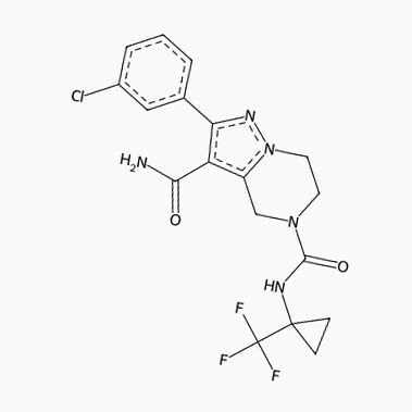 NC(=O)c1c(-c2cccc(Cl)c2)nn2c1CN(C(=O)NC1(C(F)(F)F)CC1)CC2